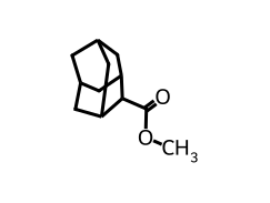 COC(=O)C1C2CC3CC(C2)CC1C3